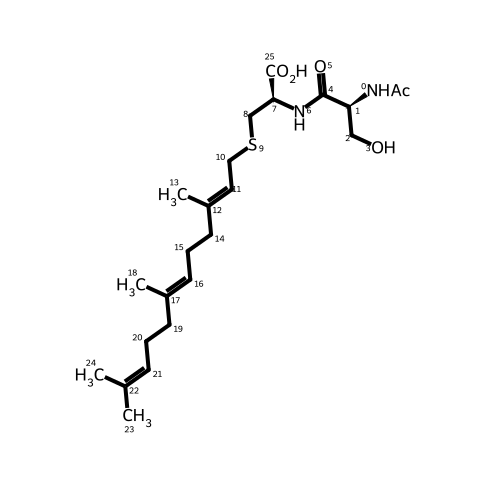 CC(=O)N[C@@H](CO)C(=O)N[C@@H](CSC/C=C(\C)CC/C=C(\C)CCC=C(C)C)C(=O)O